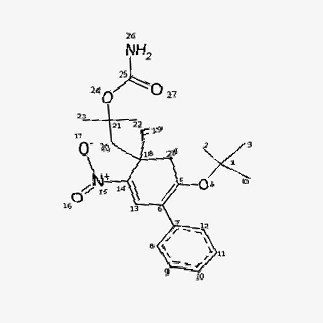 CC(C)(C)OC1=C(c2ccccc2)C=C([N+](=O)[O-])C(F)(CC(C)(C)OC(N)=O)C1